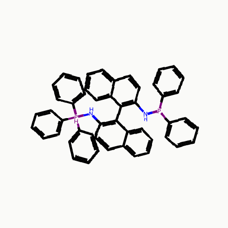 c1ccc(P(Nc2ccc3ccccc3c2-c2c(N[PH](c3ccccc3)(c3ccccc3)c3ccccc3)ccc3ccccc23)c2ccccc2)cc1